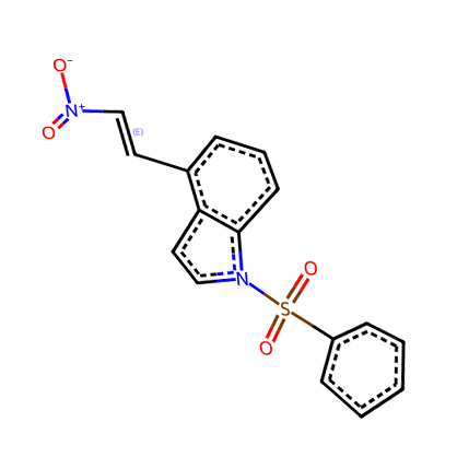 O=[N+]([O-])/C=C/c1cccc2c1ccn2S(=O)(=O)c1ccccc1